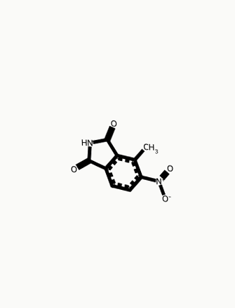 Cc1c([N+](=O)[O-])ccc2c1C(=O)NC2=O